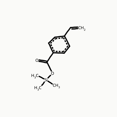 C=Cc1ccc(C(=O)O[Si](C)(C)C)cc1